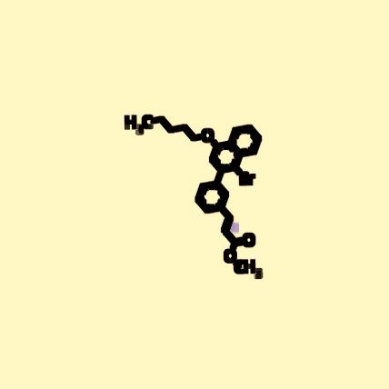 CCCCCOc1cc(-c2cccc(/C=C/C(=O)OC)c2)c(Br)c2ccccc12